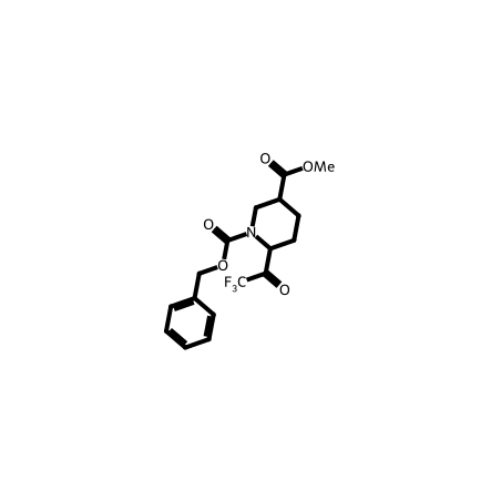 COC(=O)C1CCC(C(=O)C(F)(F)F)N(C(=O)OCc2ccccc2)C1